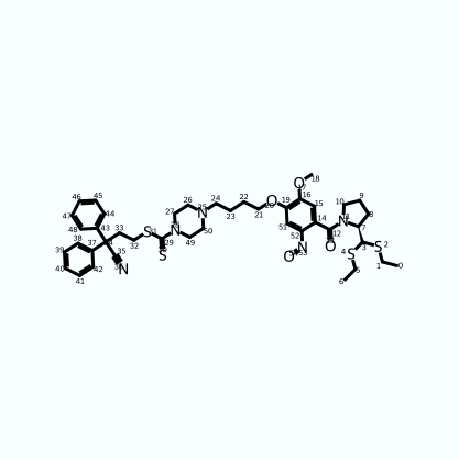 CCSC(SCC)[C@@H]1CCCN1C(=O)c1cc(OC)c(OCCCCN2CCN(C(=S)SCCC(C#N)(c3ccccc3)c3ccccc3)CC2)cc1N=O